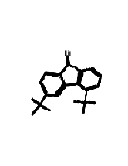 [Li][CH]1c2ccc(C(C)(C)C)cc2-c2c1cccc2C(C)(C)C